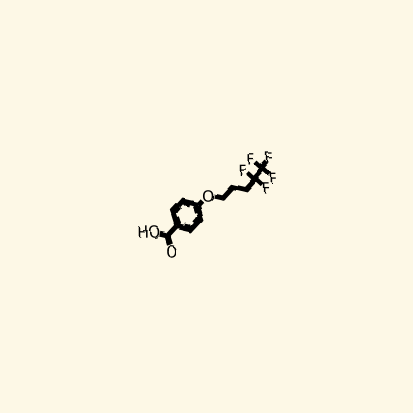 O=C(O)c1ccc(OCCCC(F)(F)C(F)(F)F)cc1